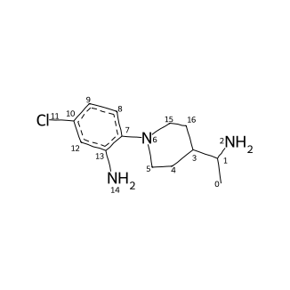 CC(N)C1CCN(c2ccc(Cl)cc2N)CC1